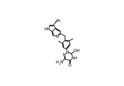 Cc1cc(N2N=C(N)C(=O)NC2O)cc(C)c1Cc1cc2c(C(C)C)c[nH]c2cn1